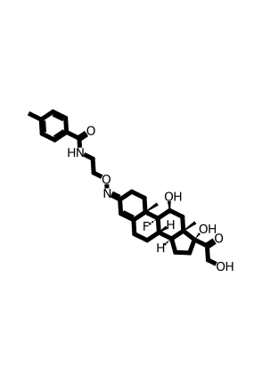 Cc1ccc(C(=O)NCCO/N=C2/C=C3CC[C@H]4[C@@H]5CC[C@](O)(C(=O)CO)[C@@]5(C)C[C@H](O)[C@]4(F)[C@@]3(C)CC2)cc1